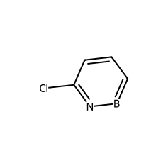 Clc1cccbn1